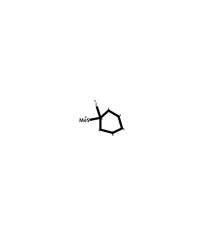 CSC1(I)CCCCC1